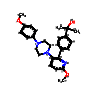 COc1ccc(N2CCN(c3ccc(OC)nc3-c3ccc(C(C)(C)O)cc3)CC2)cc1